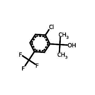 CC(C)(O)c1cc(C(F)(F)F)ccc1Cl